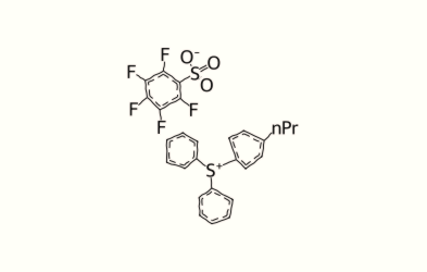 CCCc1ccc([S+](c2ccccc2)c2ccccc2)cc1.O=S(=O)([O-])c1c(F)c(F)c(F)c(F)c1F